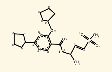 CC(C=CS(C)(=O)=O)NC(=O)c1cnc(C2CCCC2)nc1OC1CCCC1